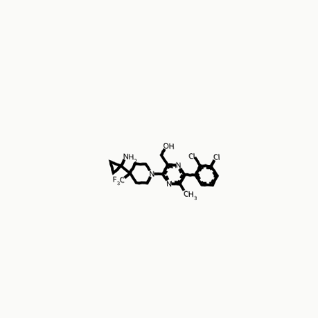 Cc1nc(N2CCC(C(F)(F)F)(C3(N)CC3)CC2)c(CO)nc1-c1cccc(Cl)c1Cl